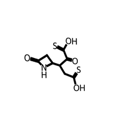 O=C1CC(C(CC(O)=S)C(=O)C(O)=S)N1